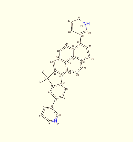 CC1(C)c2cc(-c3cccnc3)ccc2-c2c1cc1ccc3c(C4=CNCC=C4)ccc4ccc2c1c43